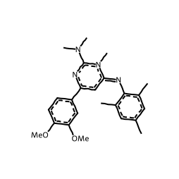 COc1ccc(-c2cc(=Nc3c(C)cc(C)cc3C)n(C)c(N(C)C)n2)cc1OC